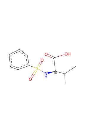 CC(C)[C@@H](NS(=O)(=O)c1ccccc1)C(=O)O